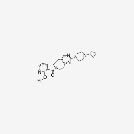 CCOc1ncccc1C(=O)N1CCc2cnc(N3CCN(C4CCC4)CC3)nc2CC1